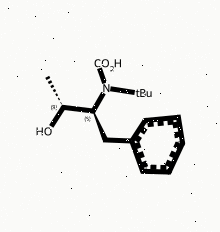 C[C@@H](O)[C@H](Cc1ccccc1)N(C(=O)O)C(C)(C)C